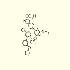 Nc1nc(OC(c2ccc(Cl)cc2-c2cccc(OC3CCCC3)c2)C(F)(F)F)cc(N2CCC3(CC2)CN[C@H](C(=O)O)C3)n1